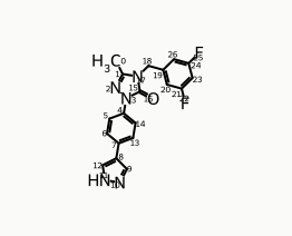 Cc1nn(-c2ccc(-c3cn[nH]c3)cc2)c(=O)n1Cc1cc(F)cc(F)c1